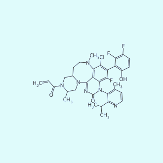 C=CC(=O)N1CC2CCN(C)c3c(Cl)c(-c4c(O)ccc(F)c4F)c(F)c4c3c(nc(=O)n4-c3c(C)ccnc3C(C)C)N2CC1C